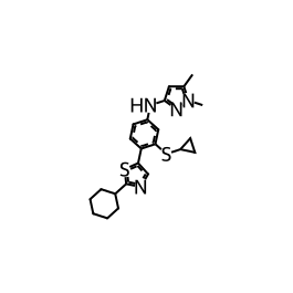 Cc1cc(Nc2ccc(-c3cnc(C4CCCCC4)s3)c(SC3CC3)c2)nn1C